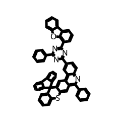 c1ccc(-c2nc(-c3ccc4nc(-c5ccccc5)c5cc6c(cc5c4c3)C3(c4ccccc4S6)c4ccccc4-c4ccccc43)nc(-c3cccc4c3oc3ccccc34)n2)cc1